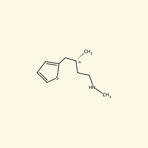 CNCC[C@@H](C)Cc1cccs1